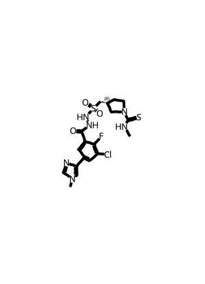 CNC(=S)N1CC[C@@H](CS(=O)(=O)NNC(=O)c2cc(-c3cn(C)cn3)cc(Cl)c2F)C1